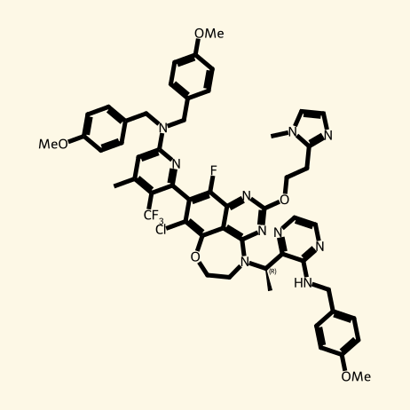 COc1ccc(CNc2nccnc2[C@@H](C)N2CCOc3c(Cl)c(-c4nc(N(Cc5ccc(OC)cc5)Cc5ccc(OC)cc5)cc(C)c4C(F)(F)F)c(F)c4nc(OCCc5nccn5C)nc2c34)cc1